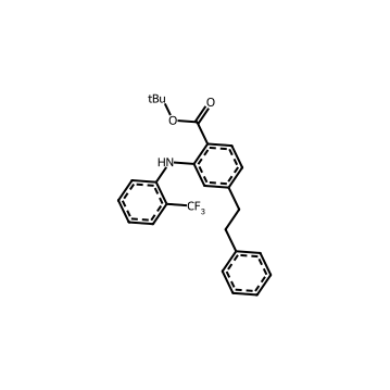 CC(C)(C)OC(=O)c1ccc(CCc2ccccc2)cc1Nc1ccccc1C(F)(F)F